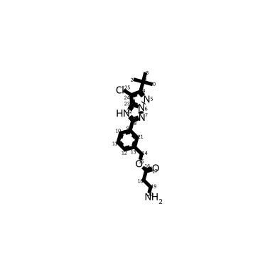 CC(C)(C)c1nn2nc(-c3cccc(COC(=O)CCN)c3)[nH]c2c1Cl